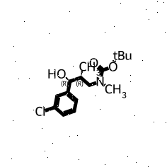 C[C@H](CN(C)C(=O)OC(C)(C)C)[C@@H](O)c1cccc(Cl)c1